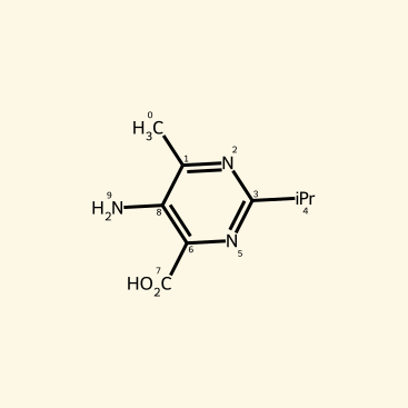 Cc1nc(C(C)C)nc(C(=O)O)c1N